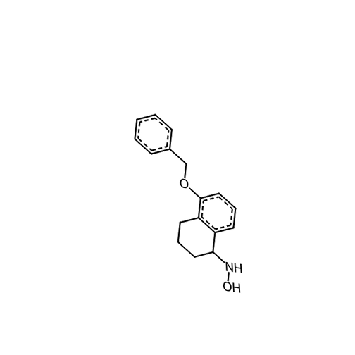 ONC1CCCc2c(OCc3ccccc3)cccc21